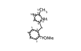 COc1ccccc1Cc1cnc(C)[nH]1